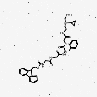 O=C(O)C[C@H](OCNC(=O)CNC(=O)[C@H](Cc1ccccc1)NC(=O)CNC(=O)CNC(=O)OCC1c2ccccc2-c2ccccc21)C1CC1